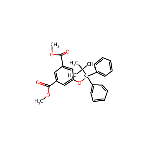 COC(=O)c1cc(O[Si](c2ccccc2)(c2ccccc2)C(C)(C)C)cc(C(=O)OC)c1